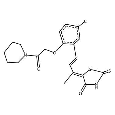 CC(C=Cc1cc(Cl)ccc1OCC(=O)N1CCCCC1)=C1SC(=S)NC1=O